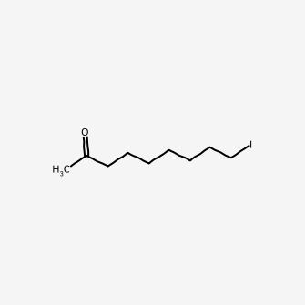 CC(=O)CCCCCCCI